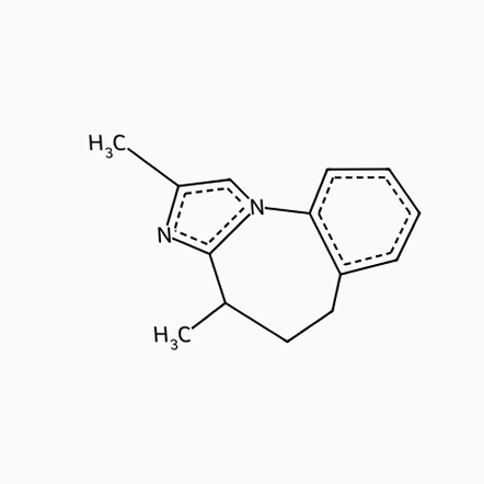 Cc1cn2c(n1)C(C)CCc1ccccc1-2